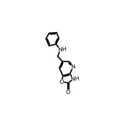 O=c1[nH]c2ncc(CNc3ccccc3)cc2o1